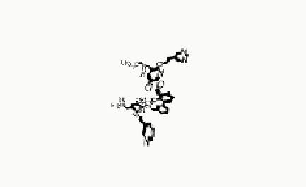 CCNCc1cc(Cl)c(OCc2cccc(-c3cccc(COc4nc(OCCc5cncnc5)c(CNCC(=O)O)cc4Cl)c3C)c2C)nc1OCCc1cncnc1